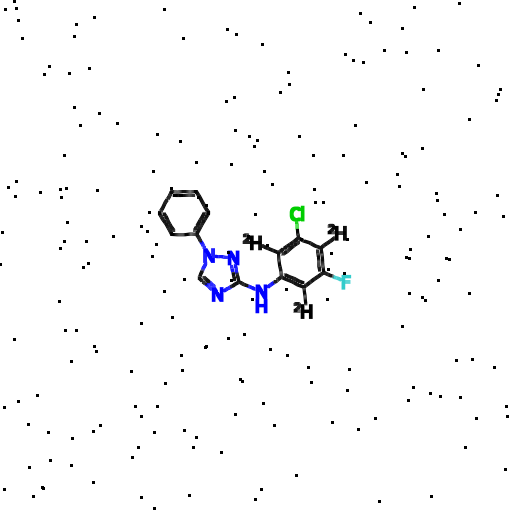 [2H]c1c(F)c([2H])c(Nc2ncn(-c3ccccc3)n2)c([2H])c1Cl